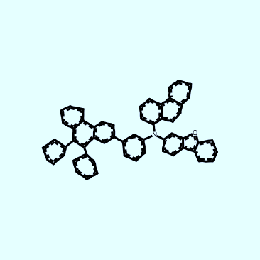 c1ccc(-c2c(-c3ccccc3)c3cc(-c4cccc(N(c5ccc6c(c5)oc5ccccc56)c5cccc6c5ccc5ccccc56)c4)ccc3c3ccccc23)cc1